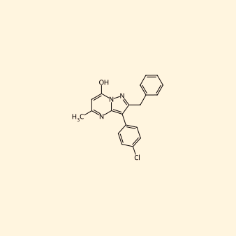 Cc1cc(O)n2nc(Cc3ccccc3)c(-c3ccc(Cl)cc3)c2n1